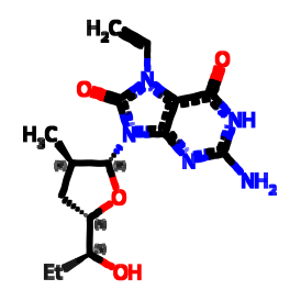 C=Cn1c(=O)n([C@@H]2O[C@H]([C@@H](O)CC)C[C@H]2C)c2nc(N)[nH]c(=O)c21